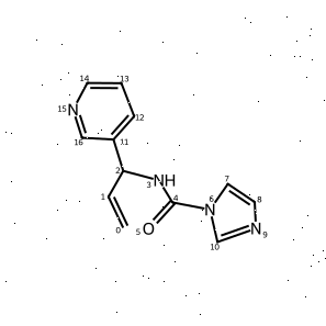 C=CC(NC(=O)n1ccnc1)c1cccnc1